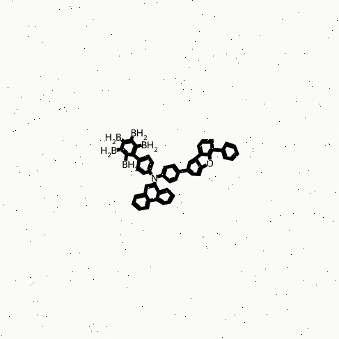 Bc1c(B)c(B)c(-c2ccc(N(c3ccc(-c4ccc5oc6c(-c7ccccc7)cccc6c5c4)cc3)c3cc4ccccc4c4ccccc34)cc2)c(B)c1B